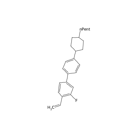 C=Cc1ccc(-c2ccc(C3CCC(CCCCC)CC3)cc2)cc1F